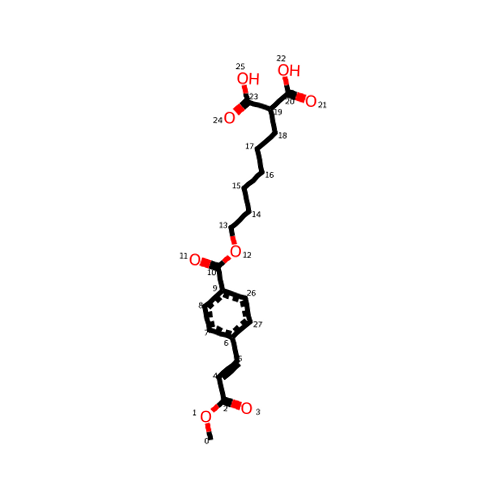 COC(=O)C=Cc1ccc(C(=O)OCCCCCCC(C(=O)O)C(=O)O)cc1